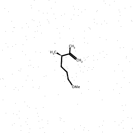 C=C(C)[C@H](C)CCCOC